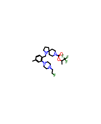 Cc1ccc(CN2CCCC23CCN(C(=O)OC(C)C(F)(F)F)CC3)c(N2CCN(CCF)CC2)c1